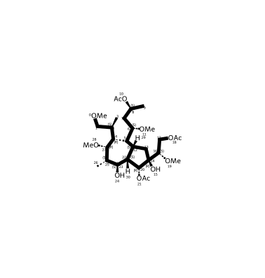 COC[C@@H](C)[C@@H]1C([C@H](C[C@H](C)OC(C)=O)OC)[C@@H]2C[C@](O)([C@H](COC(C)=O)OC)[C@H](OC(C)=O)[C@@H]2[C@@H](O)[C@H](C)[C@@H]1OC